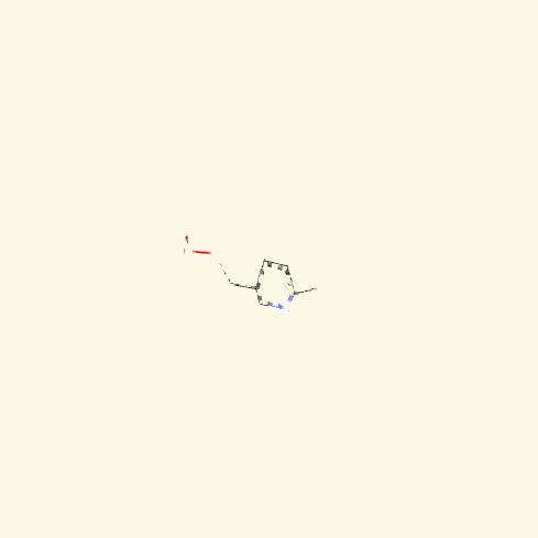 CCOOCc1ccc(C(=O)OCC)nc1